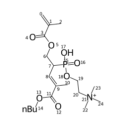 C=C(C)C(=O)OCC(C=C(C)C(=O)OCCCC)P(=O)(O)OCC[N+](C)(C)C